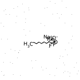 CCCCCCCC(F)C(F)(F)S(=O)(=O)[O-].[Na+]